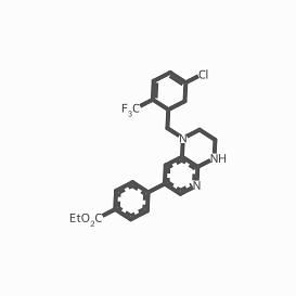 CCOC(=O)c1ccc(-c2cnc3c(c2)N(CC2CC(Cl)=CC=C2C(F)(F)F)CCN3)cc1